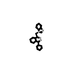 c1ccc(-c2nnc(Cn3cnc4ccccc43)c3ccccc23)cc1